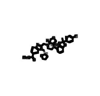 COC(=O)c1ccc2nc(CN3CCN(c4cccc5c4OC(C)(c4ccc(Cl)cn4)O5)[C@H]4COC[C@H]43)n(C[C@@H]3CCCO3)c2c1